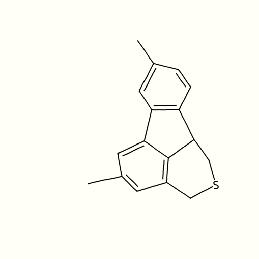 Cc1ccc2c(c1)-c1cc(C)cc3c1C2CSC3